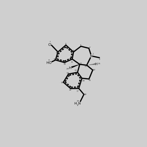 CN1CCc2cc(Cl)c(O)cc2[C@H]2c3cccc(CN)c3CC[C@@H]21